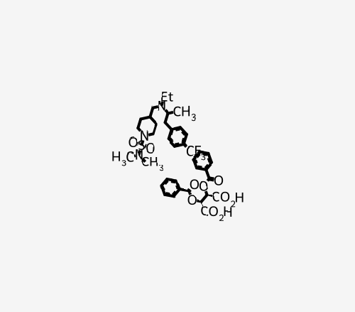 CCN(CC1CCN(S(=O)(=O)N(C)C)CC1)C(C)Cc1ccc(C(F)(F)F)cc1.O=C(O[C@@H](C(=O)O)[C@@H](OC(=O)c1ccccc1)C(=O)O)c1ccccc1